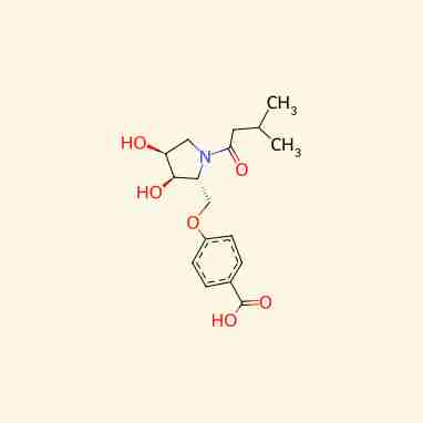 CC(C)CC(=O)N1C[C@H](O)[C@H](O)[C@H]1COc1ccc(C(=O)O)cc1